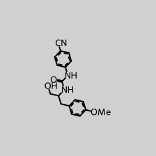 COc1ccc(CC(CO)NC(=O)Nc2ccc(C#N)cc2)cc1